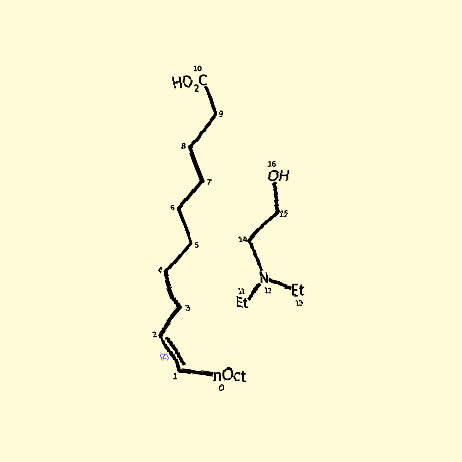 CCCCCCCC/C=C\CCCCCCCC(=O)O.CCN(CC)CCO